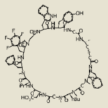 CCCC[C@H]1C(=O)N(C)CC(=O)N[C@@H](CC(=O)O)C(=O)N[C@@H](C(C)C)C(=O)N(C)[C@@H](Cc2ccccc2)C(=O)N[C@@H](Cc2c(F)c(F)c(F)c(F)c2F)C(=O)N(C)CC(=O)N[C@@H](Cc2c[nH]c3ccccc23)C(=O)N[C@@H](Cc2ccc(O)cc2)C(=O)NCC(=O)N[C@H](C)CSCC(=O)N[C@@H](Cc2ccccc2)C(=O)N(C)CC(=O)N1C